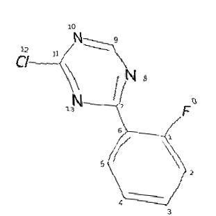 Fc1ccccc1-c1ncnc(Cl)n1